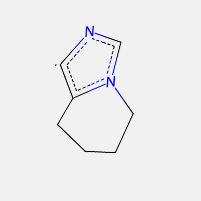 [c]1ncn2c1CCCC2